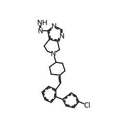 N=Nc1ncnc2c1CCN(C1CCC(=Cc3ccccc3-c3ccc(Cl)cc3)CC1)C2